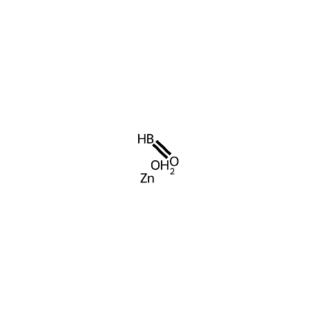 B=O.O.[Zn]